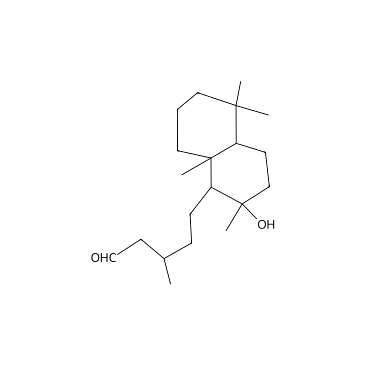 CC(CC=O)CCC1C(C)(O)CCC2C(C)(C)CCCC21C